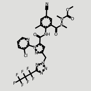 COC(=O)N(C)N(C)C(=O)c1cc(C#N)cc(C)c1NC(=O)c1cc(Cn2nnc(C(F)(F)C(F)(F)C(F)(F)F)n2)nn1-c1ncccc1Cl